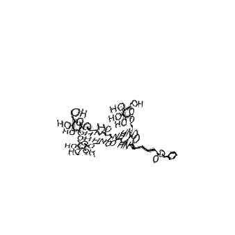 O=C(CCC(NC(=O)CC[C@H](NC(=O)CCCCC(=O)OCc1ccccc1)C(=O)NCCO[C@H]1O[C@H](CO)[C@@H](O)[C@H](O)[C@@H]1O)C(=O)NCCO[C@H]1O[C@H](CO)[C@@H](O)[C@H](O)[C@@H]1O)NCCO[C@H]1O[C@H](CO)[C@@H](O)[C@H](O)[C@@H]1O